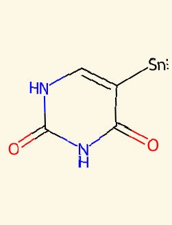 O=c1[nH]c[c]([Sn])c(=O)[nH]1